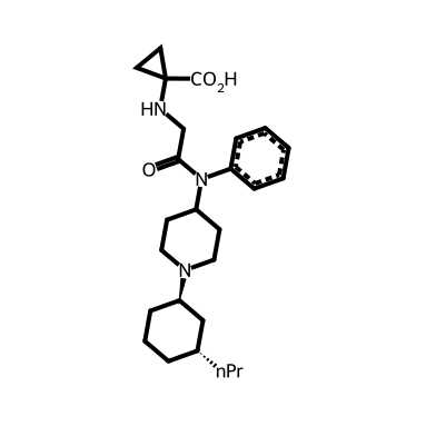 CCC[C@@H]1CCC[C@@H](N2CCC(N(C(=O)CNC3(C(=O)O)CC3)c3ccccc3)CC2)C1